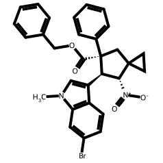 Cn1cc([C@@H]2[C@@H]([N+](=O)[O-])C3(CC3)C[C@]2(C(=O)OCc2ccccc2)c2ccccc2)c2ccc(Br)cc21